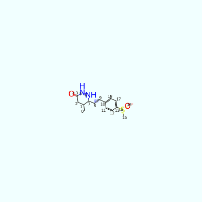 CC1CC(=O)NNC1/C=C/c1ccc([S+](C)[O-])cc1